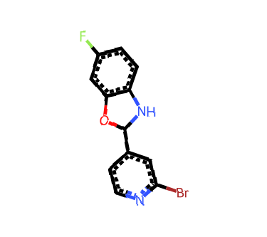 Fc1ccc2c(c1)OC(c1ccnc(Br)c1)N2